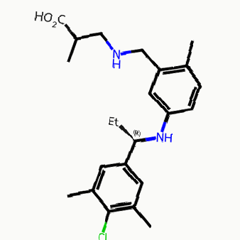 CC[C@@H](Nc1ccc(C)c(CNCC(C)C(=O)O)c1)c1cc(C)c(Cl)c(C)c1